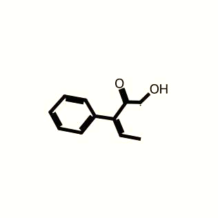 CC=C(C(=O)[CH]O)c1ccccc1